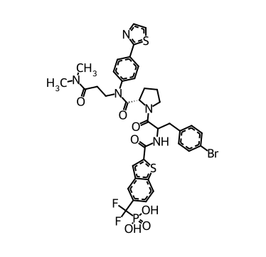 CN(C)C(=O)CCN(C(=O)[C@@H]1CCCN1C(=O)C(Cc1ccc(Br)cc1)NC(=O)c1cc2cc(C(F)(F)P(=O)(O)O)ccc2s1)c1ccc(-c2nccs2)cc1